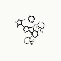 Cc1nnn(C)c1-c1cnc2c3c(N4CCCCS4(=O)=O)ccc(S(C)(=O)=O)c3n([C@H](c3ccccc3)C3CCOCC3)c2c1